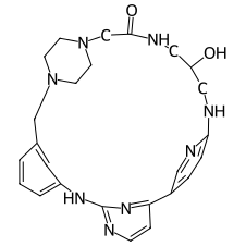 O=C1CN2CCN(CC2)Cc2cccc(c2)Nc2nccc(n2)-c2ccc(nc2)NCC(O)CN1